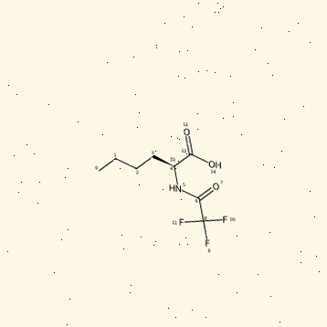 CCCC[C@H](NC(=O)C(F)(F)F)C(=O)O